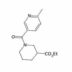 CCOC(=O)C1CCCN(C(=O)c2ccc(C)nc2)C1